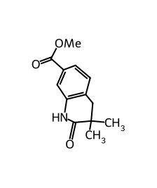 COC(=O)c1ccc2c(c1)NC(=O)C(C)(C)C2